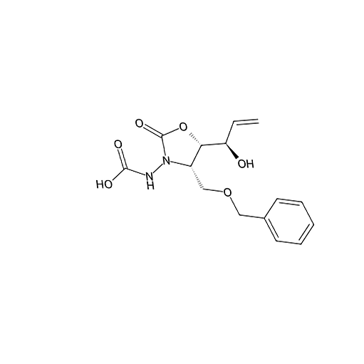 C=C[C@@H](O)[C@H]1OC(=O)N(NC(=O)O)[C@H]1COCc1ccccc1